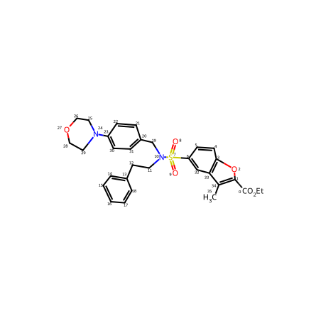 CCOC(=O)c1oc2ccc(S(=O)(=O)N(CCc3ccccc3)Cc3ccc(N4CCOCC4)cc3)cc2c1C